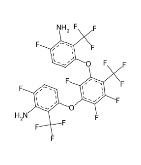 Nc1c(F)ccc(Oc2c(F)c(F)c(C(F)(F)F)c(Oc3ccc(F)c(N)c3C(F)(F)F)c2F)c1C(F)(F)F